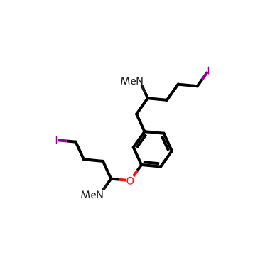 CNC(CCCI)Cc1cccc(OC(CCCI)NC)c1